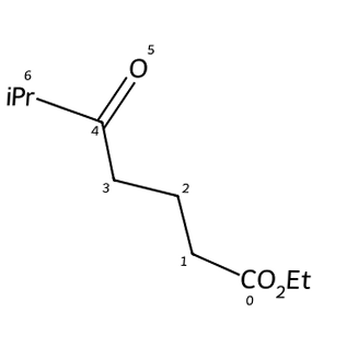 CCOC(=O)CCCC(=O)C(C)C